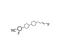 N#Cc1ccc(C2CCC(C3CCC(CC/C=C/CF)CC3)CC2)cc1F